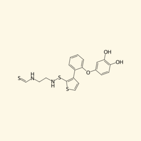 Oc1ccc(Oc2ccccc2-c2ccsc2SNCCNC=S)cc1O